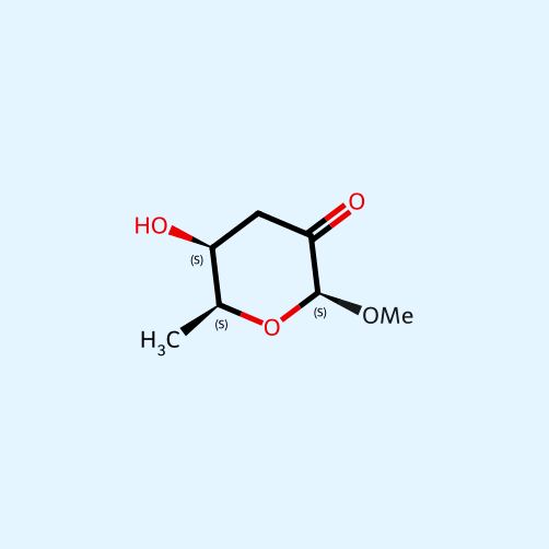 CO[C@H]1O[C@@H](C)[C@@H](O)CC1=O